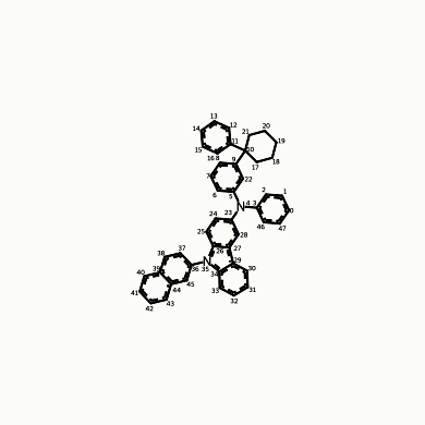 c1ccc(N(c2cccc(C3(c4ccccc4)CCCCC3)c2)c2ccc3c(c2)c2ccccc2n3-c2ccc3ccccc3c2)cc1